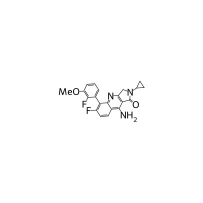 COc1cccc(-c2c(F)ccc3c(N)c4c(nc23)CN(C2CC2)C4=O)c1F